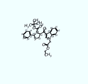 CCOC(=O)Cn1cc(C(=O)C2CSC(c3cccnc3)N2C(=O)OC(C)(C)C)c2ccccc21